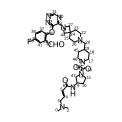 CN(C)C/C=C/C(=O)NC1CCN(S(=O)(=O)N2CCC(CN3CCC4(CC3)CN(c3ncnnc3Oc3ccc(F)cc3C=O)C4)CC2)C1